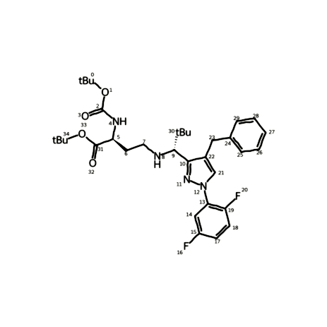 CC(C)(C)OC(=O)N[C@@H](CCN[C@@H](c1nn(-c2cc(F)ccc2F)cc1Cc1ccccc1)C(C)(C)C)C(=O)OC(C)(C)C